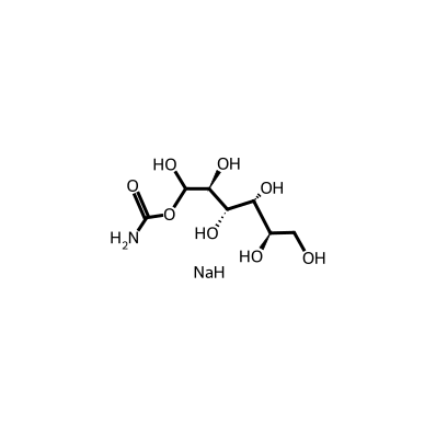 NC(=O)OC(O)[C@@H](O)[C@@H](O)[C@H](O)[C@H](O)CO.[NaH]